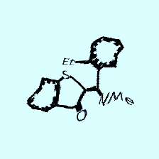 CCc1ccccc1/C(NC)=C1\Sc2ccccc2C1=O